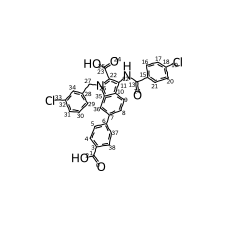 O=C(O)c1ccc(-c2ccc3c(NC(=O)c4ccc(Cl)cc4)c(C(=O)O)n(Cc4cccc(Cl)c4)c3c2)cc1